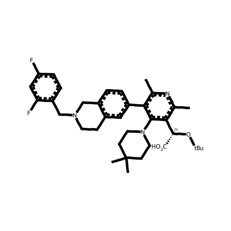 Cc1nc(C)c([C@H](OC(C)(C)C)C(=O)O)c(N2CCC(C)(C)CC2)c1-c1ccc2c(c1)CCN(Cc1ccc(F)cc1F)C2